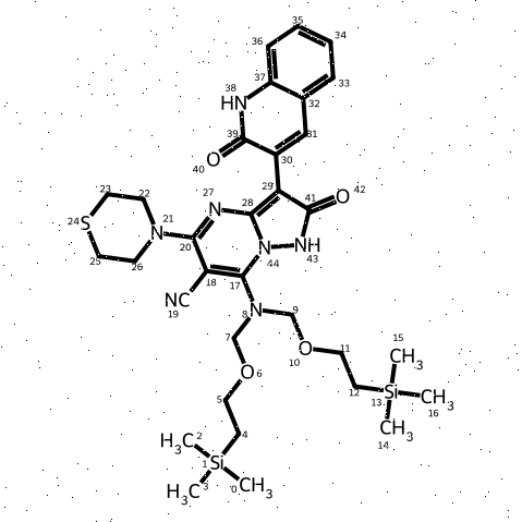 C[Si](C)(C)CCOCN(COCC[Si](C)(C)C)c1c(C#N)c(N2CCSCC2)nc2c(-c3cc4ccccc4[nH]c3=O)c(=O)[nH]n12